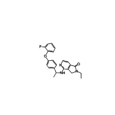 CCN1Cc2c(ccnc2NC(C)c2ccc(Oc3ccccc3F)cc2)C1=O